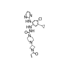 C=CC(=O)N1CC(N2CCN(C(=O)NNc3cc(C4CC4)c(Cl)cc3Nc3ncccn3)CC2)C1